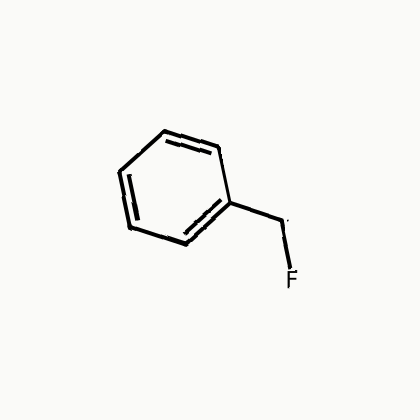 F[CH]c1ccccc1